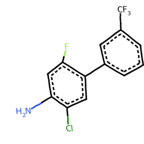 Nc1cc(F)c(-c2cccc(C(F)(F)F)c2)cc1Cl